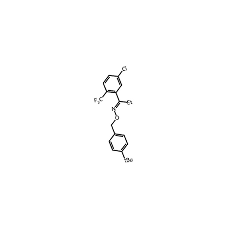 CC/C(=N\OCc1ccc(C(C)(C)C)cc1)c1cc(Cl)ccc1C(F)(F)F